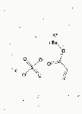 C=CC(=O)OCCCC.O=S(=O)([O-])[O-].[K+].[K+]